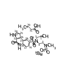 C#CCN(CCN(C)C(=O)OC(C)(C)C)S(=O)(=O)c1ccc2[nH]c(=O)c3[nH]ccc3c2c1.CCCC(=O)O